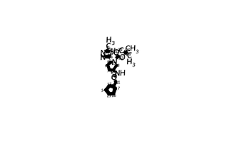 Cc1nnc([C@H]2CC[C@H](NOCc3ccccc3)CN2C(=O)OC(C)(C)C)s1